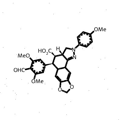 COc1ccc(N2C[C@@H]3C(=N2)C2C=C4OCOC4=CC2[C@@H](c2cc(OC)c(C=O)c(OC)c2)[C@H]3C(=O)O)cc1